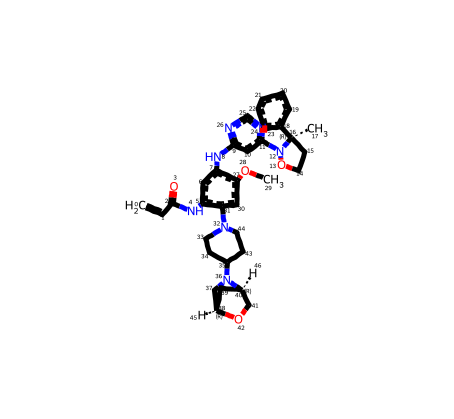 C=CC(=O)Nc1cc(Nc2cc(N3OCC[C@]3(C)c3ccccc3)ncn2)c(OC)cc1N1CCC(N2C[C@H]3C[C@@H]2CO3)CC1